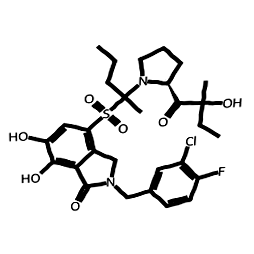 CCCC(C)(N1CCC[C@H]1C(=O)C(C)(O)CC)S(=O)(=O)c1cc(O)c(O)c2c1CN(Cc1ccc(F)c(Cl)c1)C2=O